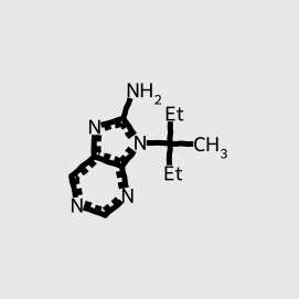 CCC(C)(CC)n1c(N)nc2cncnc21